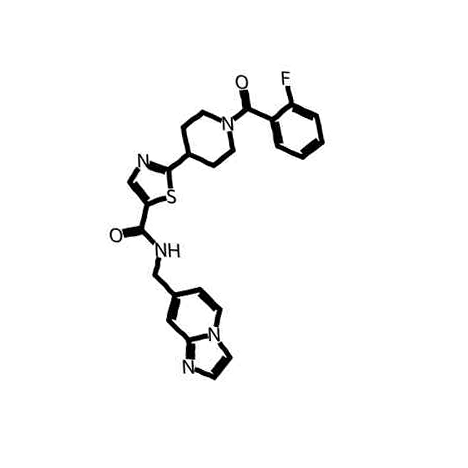 O=C(NCc1ccn2ccnc2c1)c1cnc(C2CCN(C(=O)c3ccccc3F)CC2)s1